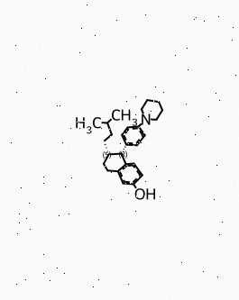 CC(C)CC[C@H]1CCc2cc(O)ccc2[C@H]1c1ccc(N2CCCCC2)cc1